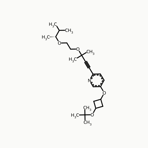 CC(C)[C@@H](C)OCCOC(C)(C)C#Cc1ccc(OC2CC(OC(C)(C)C)C2)cn1